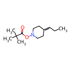 CCC=C1CCN(OC(=O)C(C)(C)C)CC1